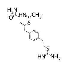 CC(=N)S[C@H](CCC(N)=O)Cc1ccc(CCSC(=N)N)cc1